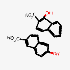 O=C(O)c1ccc2cc(O)ccc2c1.O=C(O)c1ccc2ccccc2c1O